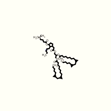 CC/C=C\CC1C(CC(=O)OCC(COC(=O)CCCCCCCC2CC2CC2CC2CCCCC)OC(=O)CCCCCCCC2CC2CC2CC2CCCCC)CCC1OC(=O)CCCN(C)C